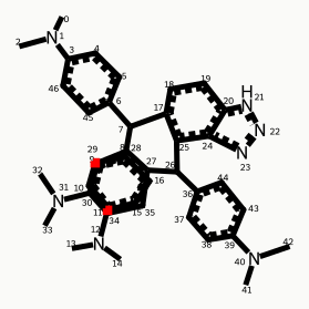 CN(C)c1ccc(C(c2ccc(N(C)C)cc2)c2ccc3[nH]nnc3c2C(c2ccc(N(C)C)cc2)c2ccc(N(C)C)cc2)cc1